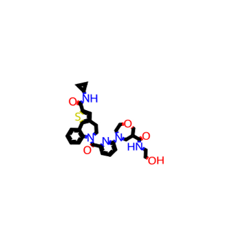 O=C(NC1CC1)c1cc2c(s1)-c1ccccc1N(C(=O)c1cccc(N3CCOCC(C(=O)NCCO)C3)n1)CC2